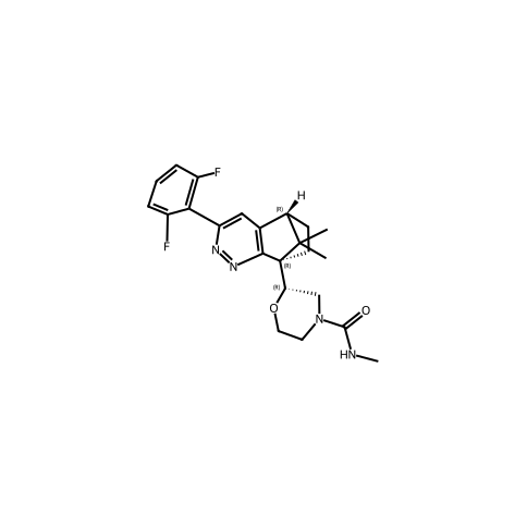 CNC(=O)N1CCO[C@H]([C@@]23CC[C@@H](c4cc(-c5c(F)cccc5F)nnc42)C3(C)C)C1